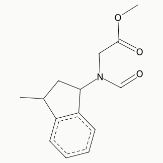 COC(=O)CN(C=O)C1CC(C)c2ccccc21